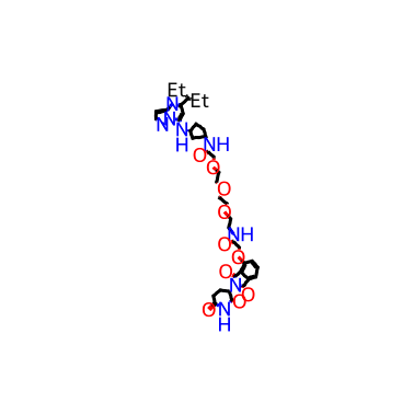 CCC(CC)c1cc(N[C@H]2CC[C@H](NC(=O)COCCOCCOCCNC(=O)COc3cccc4c3C(=O)N(C3CCC(=O)NC3=O)C4=O)C2)n2nccc2n1